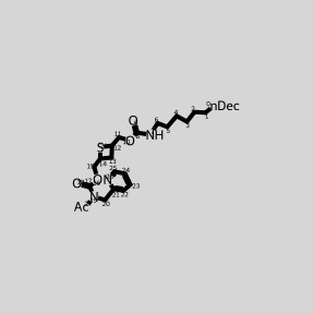 CCCCCCCCCCCCCCCCNC(=O)OCC1CC(COC(=O)N(Cc2ccccn2)C(C)=O)S1